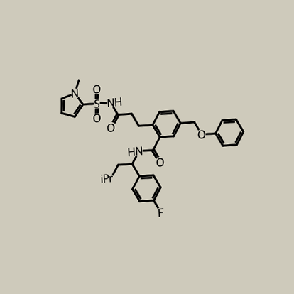 CC(C)CC(NC(=O)c1cc(COc2ccccc2)ccc1CCC(=O)NS(=O)(=O)c1cccn1C)c1ccc(F)cc1